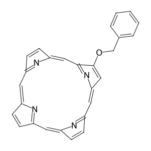 C1=CC2=NC1=CC1=NC(=CC3=NC(=CC4=NC(=C2)C=C4)C=C3OCc2ccccc2)C=C1